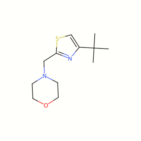 CC(C)(C)c1csc(CN2CCOCC2)n1